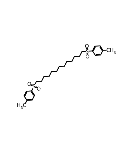 Cc1ccc(S(=O)(=O)CCCCCCCCCCCCCS(=O)(=O)c2ccc(C)cc2)cc1